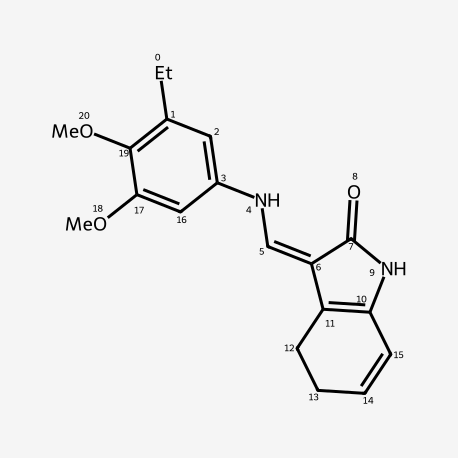 CCc1cc(N/C=C2\C(=O)NC3=C2CCC=C3)cc(OC)c1OC